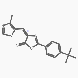 Cc1ncsc1/C=C1/N=C(c2ccc(C(C)(C)C)cc2)OC1=O